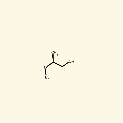 CCO[C@@H](C)CO